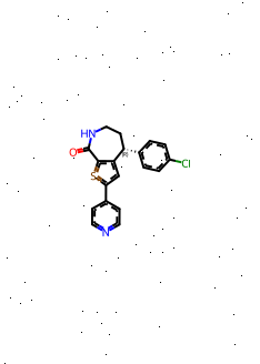 O=C1NCC[C@H](c2ccc(Cl)cc2)c2cc(-c3ccncc3)sc21